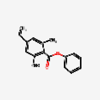 C=Cc1cc(C)c(C(=O)Oc2ccccc2)c(C=O)c1